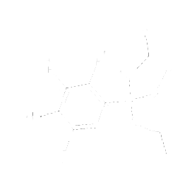 CCO[Si](OC)(OCC)c1cc(F)c(F)c(F)c1F